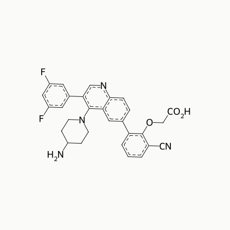 N#Cc1cccc(-c2ccc3ncc(-c4cc(F)cc(F)c4)c(N4CCC(N)CC4)c3c2)c1OCC(=O)O